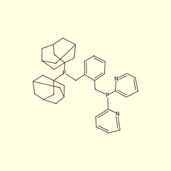 c1ccc(P(Cc2ccccc2CP(C23CC4CC(CC(C4)C2)C3)C23CC4CC(CC(C4)C2)C3)c2ccccn2)nc1